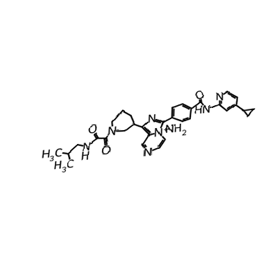 CC(C)CNC(=O)C(=O)N1CCCC(C2=C3C=NC=C[N+]3(N)C(c3ccc(C(=O)Nc4cc(C5CC5)ccn4)cc3)=N2)C1